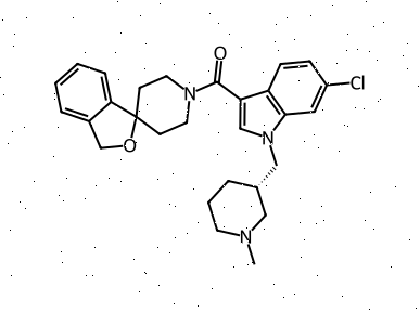 CN1CCC[C@H](Cn2cc(C(=O)N3CCC4(CC3)OCc3ccccc34)c3ccc(Cl)cc32)C1